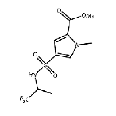 COC(=O)c1cc(S(=O)(=O)NC(C)C(F)(F)F)cn1C